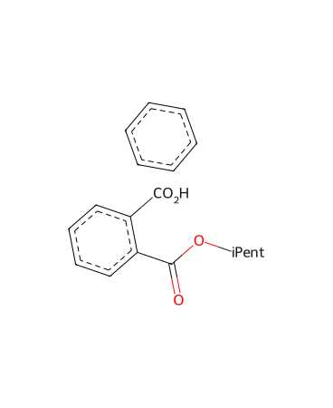 CCCC(C)OC(=O)c1ccccc1C(=O)O.c1ccccc1